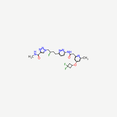 CNC(=O)c1cn(C[C@H](F)CCc2ccc(NC(=O)Cc3cc(OC4CC(F)(F)C4)cc(C)n3)nn2)nn1